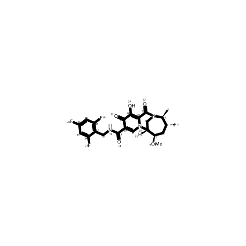 CO[C@@H]1C[C@@H](F)[C@H](C)N2C[C@H]1n1cc(C(=O)NCc3c(F)cc(F)cc3F)c(=O)c(O)c1C2=O